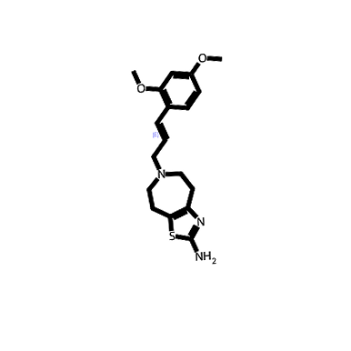 COc1ccc(/C=C/CN2CCc3nc(N)sc3CC2)c(OC)c1